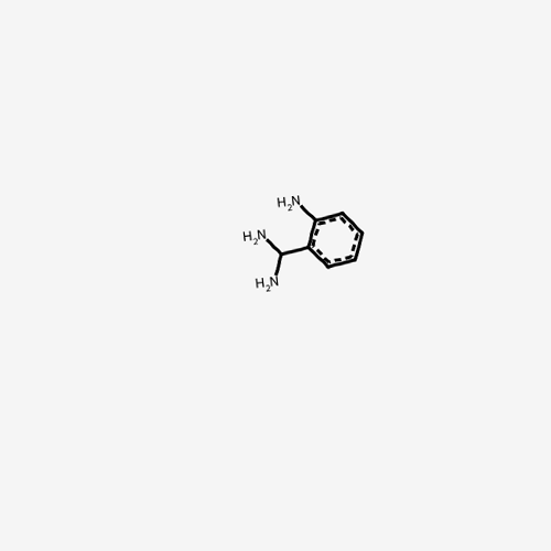 Nc1ccccc1C(N)N